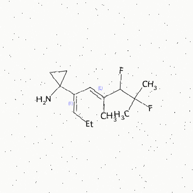 CC/C=C(\C=C(/C)C(F)C(C)(C)F)C1(N)CC1